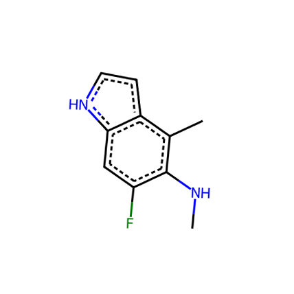 CNc1c(F)cc2[nH]ccc2c1C